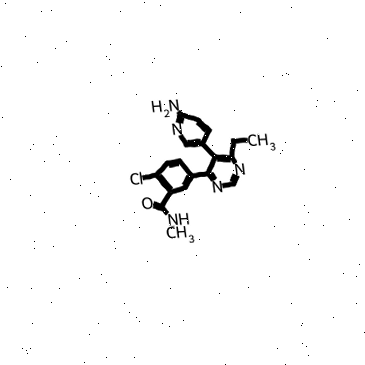 CCc1ncnc(-c2ccc(Cl)c(C(=O)NC)c2)c1-c1ccc(N)nc1